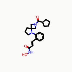 O=C(C=Cc1ccccc1N1CCCC12CN(C(=O)C1CCCC1)C2)NO